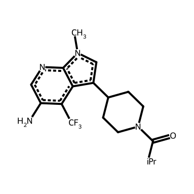 CC(C)C(=O)N1CCC(c2cn(C)c3ncc(N)c(C(F)(F)F)c23)CC1